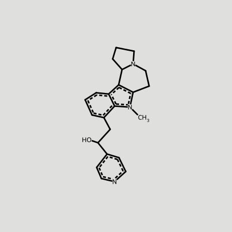 Cn1c2c(c3cccc(CC(O)c4ccncc4)c31)C1CCCN1CC2